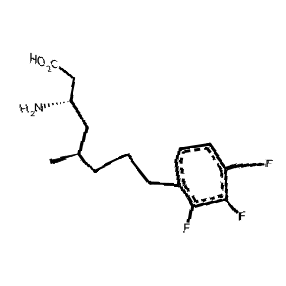 C[C@H](CCCc1ccc(F)c(F)c1F)C[C@H](N)CC(=O)O